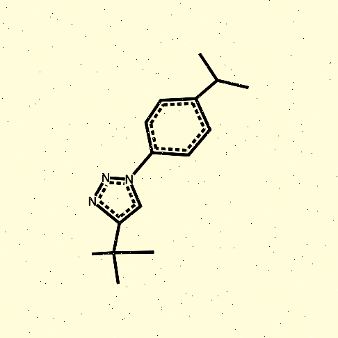 CC(C)c1ccc(-n2cc(C(C)(C)C)nn2)cc1